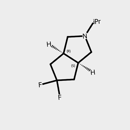 CC(C)N1C[C@@H]2CC(F)(F)C[C@@H]2C1